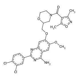 COc1cc2c(N)nc(-c3ccc(Cl)c(Cl)c3)nc2cc1OCC1CN(C(=O)c2c(C)noc2C)CCO1